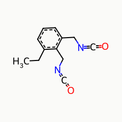 CCc1cccc(CN=C=O)c1CN=C=O